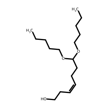 CCCCCOC(CC/C=C\CCO)OCCCCC